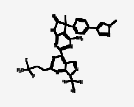 [2H]C([2H])([2H])n1ncc2c(-c3nc(N)c4c(n3)NC(=O)C4(C)c3ccc(-c4cnn(C)c4)cc3)nc(CCC(F)(F)C(F)(F)F)nc21